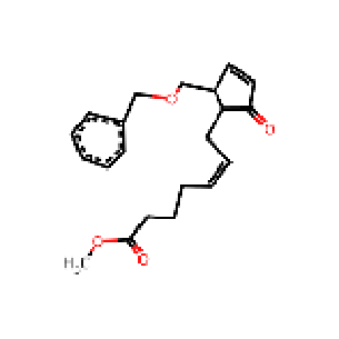 COC(=O)CCC/C=C\CC1C(=O)C=CC1COCc1ccccc1